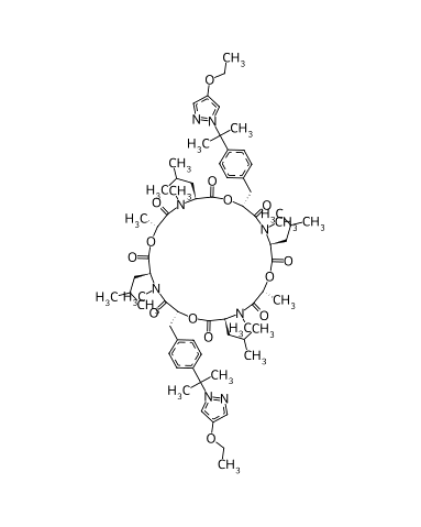 CCOc1cnn(C(C)(C)c2ccc(C[C@H]3OC(=O)[C@H](CC(C)C)N(C)C(=O)[C@@H](C)OC(=O)[C@H](CC(C)C)N(C)C(=O)[C@@H](Cc4ccc(C(C)(C)n5cc(OCC)cn5)cc4)OC(=O)[C@H](CC(C)C)N(C)C(=O)[C@@H](C)OC(=O)[C@H](CC(C)C)N(C)C3=O)cc2)c1